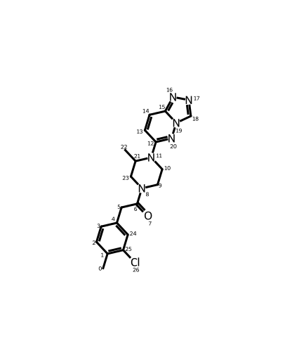 Cc1ccc(CC(=O)N2CCN(c3ccc4nncn4n3)C(C)C2)cc1Cl